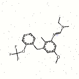 CCN(C)/C=N/c1cc(OC)cc(Cc2ccccc2OC(F)(F)F)c1C